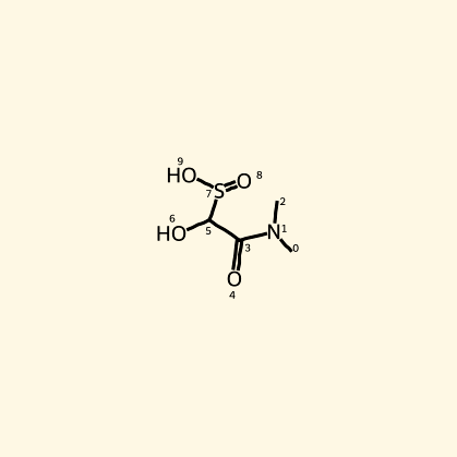 CN(C)C(=O)C(O)S(=O)O